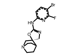 Fc1nc(NC2=NC[C@]3(CN4CCC3CC4)O2)ccc1Br